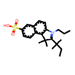 CCC[N+]1=C(C(C)(C)CC)C(C)(C)c2c1ccc1cc(S(=O)(=O)O)ccc21